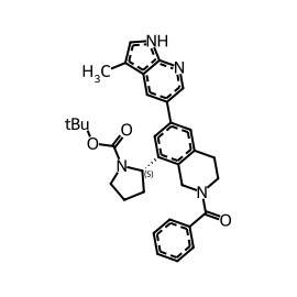 Cc1c[nH]c2ncc(-c3cc4c(c([C@@H]5CCCN5C(=O)OC(C)(C)C)c3)CN(C(=O)c3ccccc3)CC4)cc12